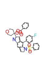 O=C(OC1=c2c(cc3c(c2-c2ccc(F)cc2)N(S(=O)(=O)c2ccccc2)CC=3)N=C1C1(O)CCOCC1)c1ccccc1